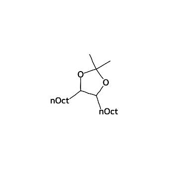 [CH2]CCCCCCCC1OC(C)(C)OC1CCCCCCCC